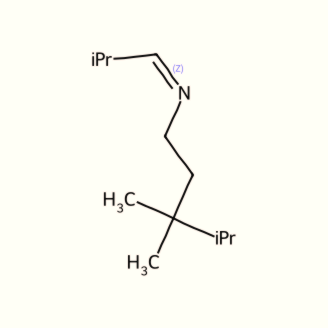 CC(C)/C=N\CCC(C)(C)C(C)C